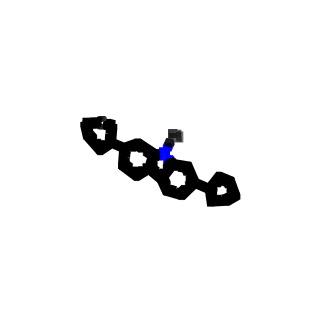 CCn1c2cc(-c3ccccc3)ccc2c2ccc(-c3ccccc3)cc21